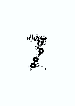 CCN(CC)CCN(CC(=O)OC(=O)C(F)(F)F)C(=O)c1cccc(COc2ccc(-c3cc(F)c(F)cc3SC)cc2)c1